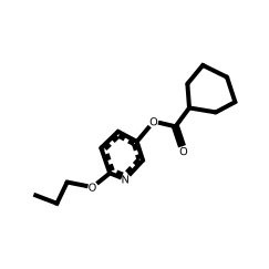 CCCOc1ccc(OC(=O)C2CCCCC2)cn1